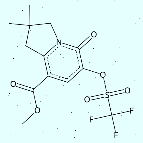 COC(=O)c1cc(OS(=O)(=O)C(F)(F)F)c(=O)n2c1CC(C)(C)C2